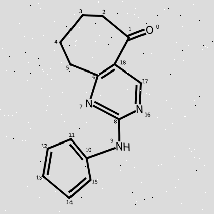 O=C1CCCCc2nc(Nc3ccccc3)ncc21